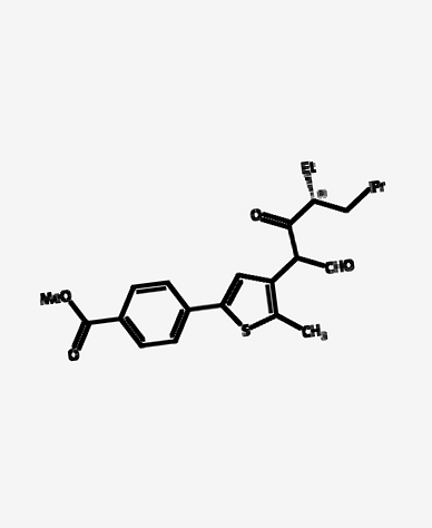 CC[C@H](CC(C)C)C(=O)C(C=O)c1cc(-c2ccc(C(=O)OC)cc2)sc1C